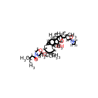 CC(C)CC(=O)N1CCOC(OC2CCC3CC34CCC3(C)C5C(C)CC([C@H](CC(=O)N6CCC6)C(C)C)OC5[C@H](O)[C@@]3(C)C4CCC(C)C2(C)C)C1